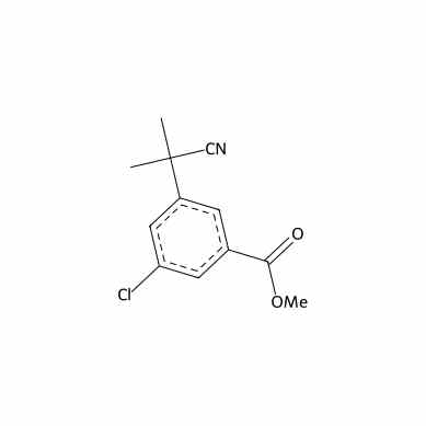 COC(=O)c1cc(Cl)cc(C(C)(C)C#N)c1